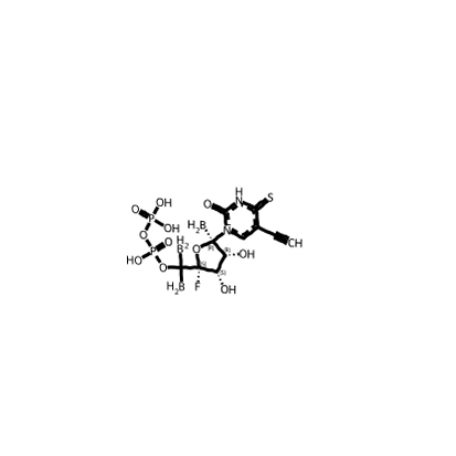 BC(B)(OP(=O)(O)OP(=O)(O)O)[C@@]1(F)O[C@@](B)(n2cc(C#C)c(=S)[nH]c2=O)[C@H](O)[C@@H]1O